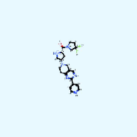 O=C([C@@H]1C[C@H](N2CCc3nc(-c4ccncc4)ncc3C2)CN1)N1CCC(F)(F)C1